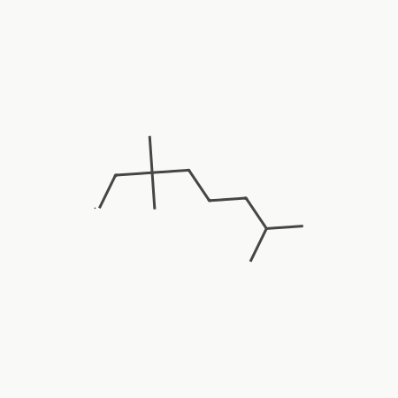 [CH2]CC(C)(C)CCCC(C)C